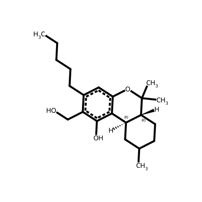 CCCCCc1cc2c(c(O)c1CO)[C@@H]1CC(C)CC[C@H]1C(C)(C)O2